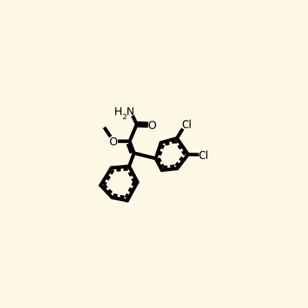 COC(C(N)=O)=C(c1ccccc1)c1ccc(Cl)c(Cl)c1